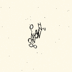 COCCCn1c(=O)n(Cc2ccccc2OC)c2cnc(NC3CC3)nc21